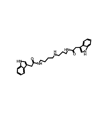 O=C(Cc1c[nH]c2ccccc12)NCCCCNCCCNC(=O)Cc1c[nH]c2ccccc12